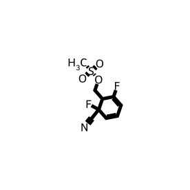 CS(=O)(=O)OCC1C(F)=CC=CC1(F)C#N